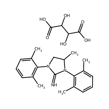 Cc1cccc(C)c1N1CC(C)N(c2c(C)cccc2C)C1=N.O=C(O)C(O)C(O)C(=O)O